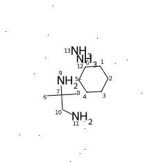 C1CCCCC1.CC(C)(N)CN.N.N